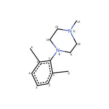 Cc1[c]ccc(C)c1N1CCN(C)CC1